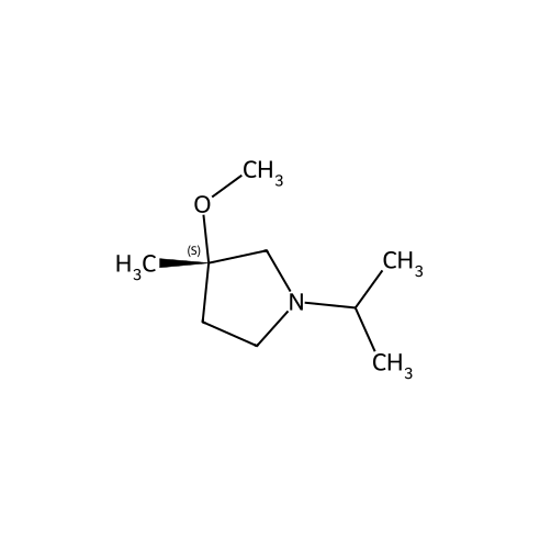 CO[C@@]1(C)CCN(C(C)C)C1